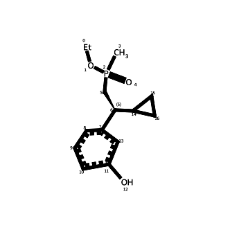 CCOP(C)(=O)C[C@H](c1cccc(O)c1)C1CC1